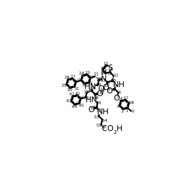 Cc1ccc(OCC(=O)N[C@H](CC2CC=CS2)C(=O)N[C@@H](Cc2ccc(-c3ccccc3)cc2)C(=O)N[C@H](CCc2ccccc2)C(=O)NCC(=O)NCCCC(=O)O)cc1